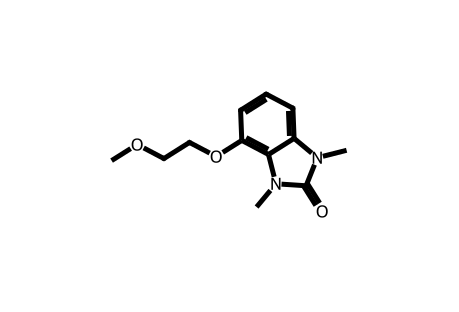 COCCOc1cccc2c1n(C)c(=O)n2C